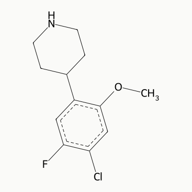 COc1cc(Cl)c(F)cc1C1CCNCC1